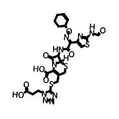 O=CNc1nc(C(=NOC2C=CCCC2)C(=O)NC2C(=O)N3C(C(=O)O)=C(CSc4nnnn4CCC(=O)O)CS[C@@H]23)cs1